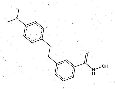 CN(C)c1ccc(CCc2cccc(C(=O)NO)c2)cc1